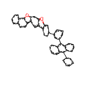 c1ccc(-c2c3ccccc3c(-c3cccc(-c4ccc5c(c4)oc4cc6oc7c8ccccc8ccc7c6cc45)c3)c3ccccc23)cc1